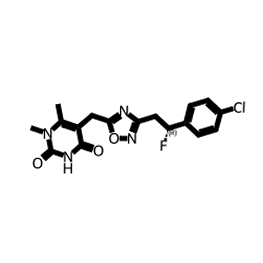 Cc1c(Cc2nc(C[C@@H](F)c3ccc(Cl)cc3)no2)c(=O)[nH]c(=O)n1C